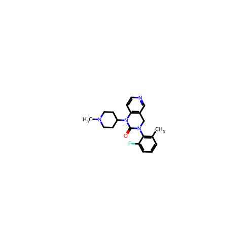 Cc1cccc(F)c1N1Cc2cnccc2N(C2CCN(C)CC2)C1=O